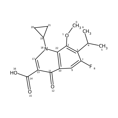 COc1c(C(C)C)c(F)cc2c(=O)c(C(=O)O)cn(C3CC3)c12